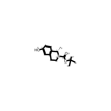 C[C@H]1c2ccc(O)cc2CCN1C(=O)OC(C)(C)C